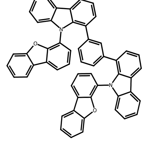 c1cc(-c2cccc3c4ccccc4n(-c4cccc5c4oc4ccccc45)c23)cc(-c2cccc3c4ccccc4n(-c4cccc5c4oc4ccccc45)c23)c1